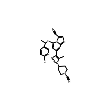 Cc1c(-c2cc(OC(C)c3ccc(Cl)nc3)n3c(C#N)cnc3c2)nnn1C1CCN(C#N)CC1